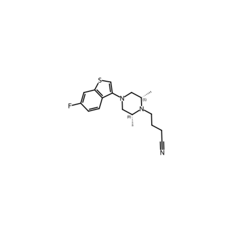 C[C@@H]1CN(c2csc3cc(F)ccc23)C[C@H](C)N1CCCC#N